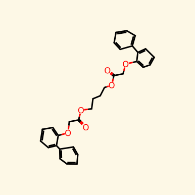 O=C(COc1ccccc1-c1ccccc1)OCCCCOC(=O)COc1ccccc1-c1ccccc1